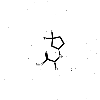 CCC(N[C@@H]1CCC(F)(F)C1)C(=O)OC